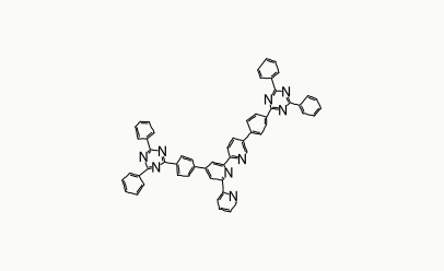 c1ccc(-c2nc(-c3ccccc3)nc(-c3ccc(-c4ccc(-c5cc(-c6ccc(-c7nc(-c8ccccc8)nc(-c8ccccc8)n7)cc6)cc(-c6ccccn6)n5)nc4)cc3)n2)cc1